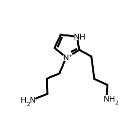 NCCCc1[nH]cc[n+]1CCCN